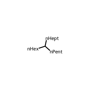 [CH2]CCCCCC(CCCCC)CCCCCCC